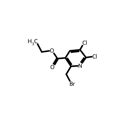 CCOC(=O)c1cc(Cl)c(Cl)nc1CBr